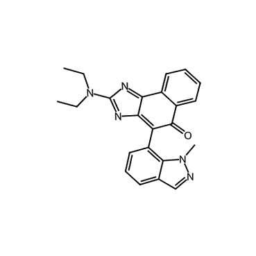 CCN(CC)C1=NC2=C(c3cccc4cnn(C)c34)C(=O)c3ccccc3C2=N1